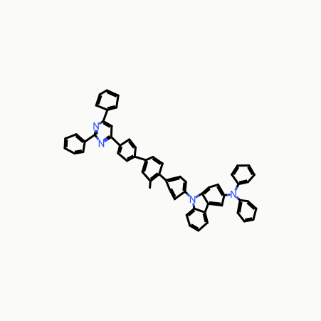 Cc1cc(-c2ccc(-c3cc(-c4ccccc4)nc(-c4ccccc4)n3)cc2)ccc1-c1ccc(-n2c3ccccc3c3cc(N(c4ccccc4)c4ccccc4)ccc32)cc1